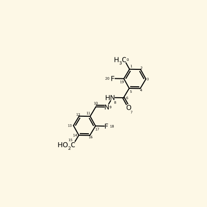 Cc1cccc(C(=O)N/N=C/c2ccc(C(=O)O)cc2F)c1F